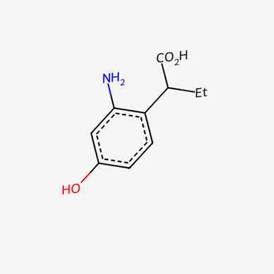 CCC(C(=O)O)c1ccc(O)cc1N